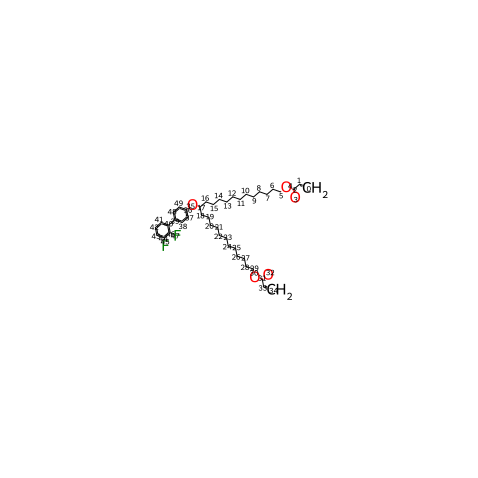 C=CC(=O)OCCCCCCCCCCCCC(CCCCCCCCCCCCOC(=O)C=C)Oc1ccc(-c2cccc(F)c2F)cc1